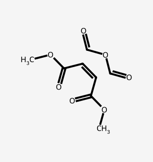 COC(=O)/C=C\C(=O)OC.O=COC=O